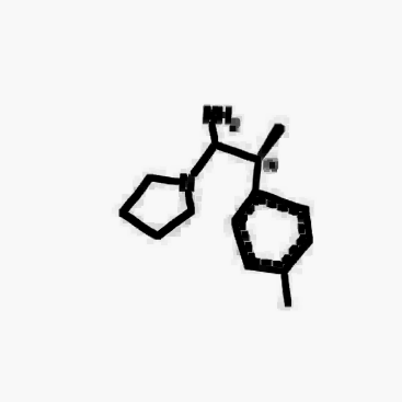 Cc1ccc([C@H](C)C(N)N2CCCC2)cc1